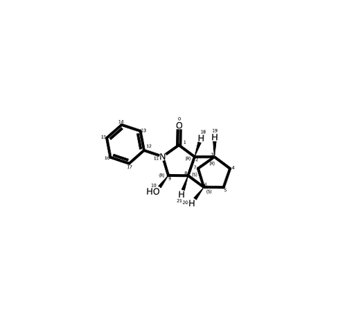 O=C1[C@@H]2[C@@H]3CC[C@@H](C3)[C@@H]2[C@@H](O)N1c1ccccc1